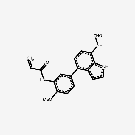 C=CC(=O)Nc1cc(-c2ccc(NC=O)c3[nH]ccc23)ccc1OC